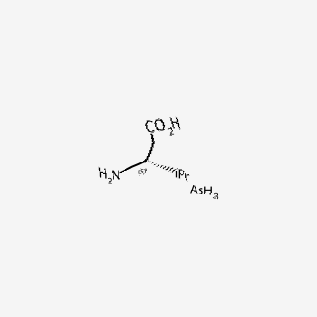 CC(C)[C@H](N)C(=O)O.[AsH3]